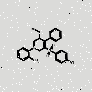 Cc1ccccc1N1CC(S(=O)(=O)c2ccc(Cl)cc2)=C(c2ccccc2)C(CBr)C1